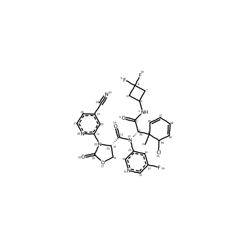 CC1([C@@H](C(=O)NC2CC(F)(F)C2)N(C(=O)[C@@H]2COC(=O)N2c2cc(C#N)ccn2)c2cncc(F)c2)C=CC=CC1Cl